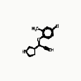 C#CC(Oc1ccc(Cl)cc1C)C1CCNC1